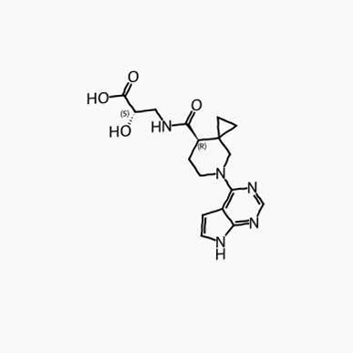 O=C(O)[C@@H](O)CNC(=O)[C@@H]1CCN(c2ncnc3[nH]ccc23)CC12CC2